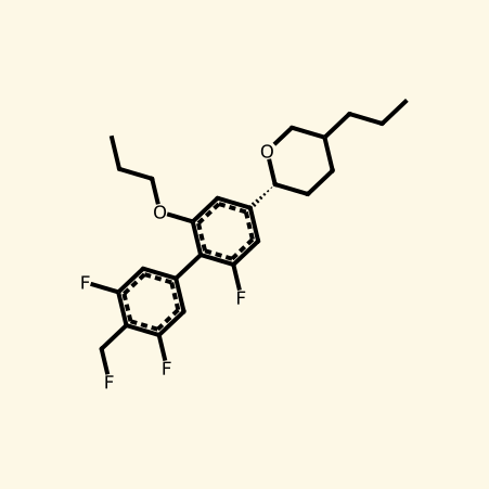 CCCOc1cc([C@H]2CCC(CCC)CO2)cc(F)c1-c1cc(F)c(CF)c(F)c1